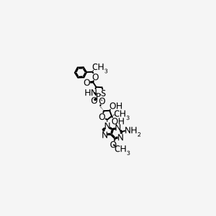 COc1nc(N)nc2c1ncn2[C@@H]1O[C@H](CO[P@]2(=O)NC(C(=O)O[C@@H](C)c3ccccc3)CS2)[C@@H](O)[C@@]1(C)O